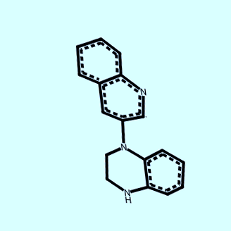 [c]1nc2ccccc2cc1N1CCNc2ccccc21